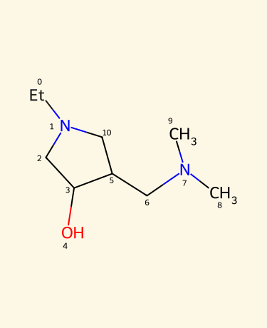 CCN1CC(O)C(CN(C)C)C1